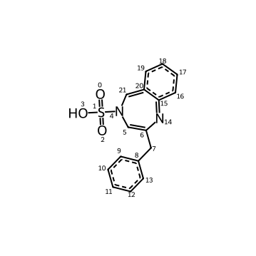 O=S(=O)(O)N1C=C(Cc2ccccc2)N=c2ccccc2=C1